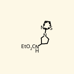 CCOC(=O)NC1CCN(c2nccs2)C1